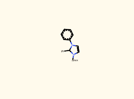 CCCCCCN1C=CN(c2ccccc2)C1C(C)C